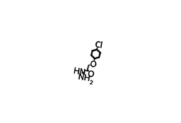 NNC(=O)COc1ccc(Cl)cc1